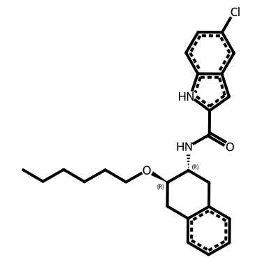 CCCCCCO[C@@H]1Cc2ccccc2C[C@H]1NC(=O)c1cc2cc(Cl)ccc2[nH]1